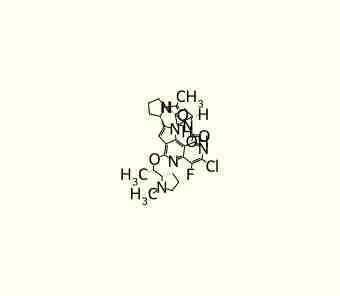 CC(=O)N1CCC[C@@H]1c1cc2c(O[C@@H](C)[C@@H]3CCCN3C)nc3c(F)c(Cl)ncc3c2n1[C@H]1[C@@H]2C[C@H]1N(C(=O)O)C2